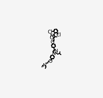 CCN(CC)CCCOc1ccc(-n2cc(-c3ccc(OCc4onc(-c5c(Cl)cccc5Cl)c4C)cc3)nc2CC(C)C)cc1